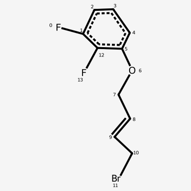 Fc1cccc(OC/C=C/CBr)c1F